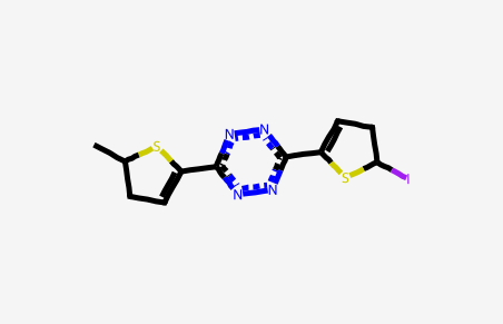 CC1CC=C(c2nnc(C3=CCC(I)S3)nn2)S1